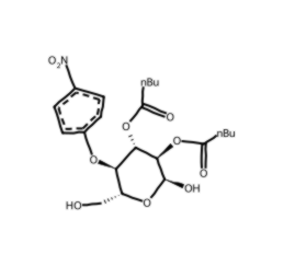 CCCCC(=O)O[C@@H]1[C@@H](OC(=O)CCCC)[C@@H](O)O[C@H](CO)[C@H]1Oc1ccc([N+](=O)[O-])cc1